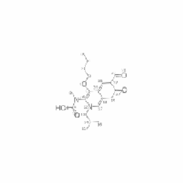 CCCCOC1=C(N(C)C(=O)O)N(CC(C)C)C=C2CC(=O)C(C=O)C=C21